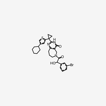 O=C(C(O)c1cccc(Br)c1)N1CCCc2nc(C3(c4cc(C5CCCCC5)cs4)CC3)[nH]c(=O)c2C1